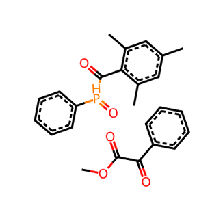 COC(=O)C(=O)c1ccccc1.Cc1cc(C)c(C(=O)[PH](=O)c2ccccc2)c(C)c1